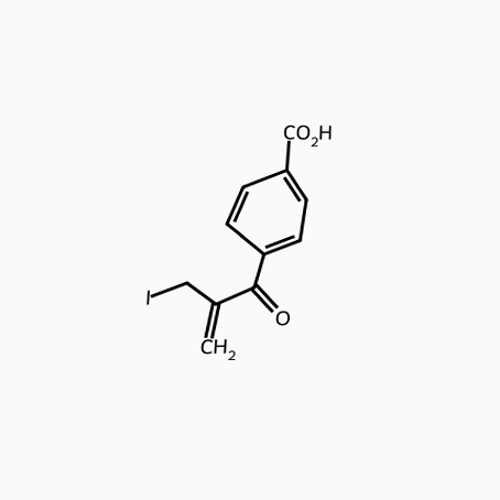 C=C(CI)C(=O)c1ccc(C(=O)O)cc1